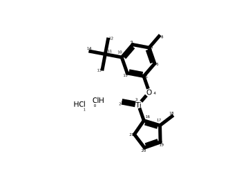 Cl.Cl.[CH2]=[Ti]([O]c1cc(C)cc(C(C)(C)C)c1)[C]1=C(C)C=CC1